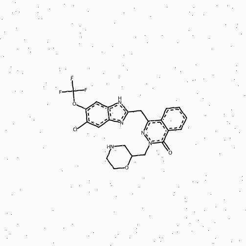 O=c1c2ccccc2c(Cc2nc3cc(Cl)c(OC(F)(F)F)cc3[nH]2)nn1CC1CNCCO1